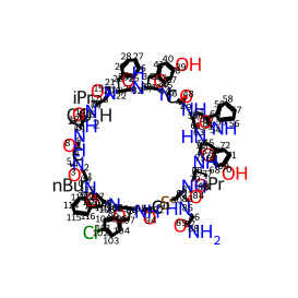 CCCC[C@H]1C(=O)N(C)CC(=O)N[C@@H](CC(=O)O)C(=O)N[C@@H](C(C)C)C(=O)N(C)[C@@H](Cc2ccccc2)C(=O)N[C@@H](Cc2ccc(O)cc2)C(=O)N(C)CC(=O)N[C@@H](Cc2c[nH]c3ccccc23)C(=O)N[C@@H](Cc2ccc(O)cc2)C(=O)N[C@@H](CC(C)C)C(=O)N[C@H](C(=O)NCC(N)=O)CSCC(=O)N[C@@H](Cc2ccc(Cl)cc2)C(=O)N(C)[C@@H](Cc2ccccc2)C(=O)N1C